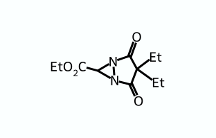 CCOC(=O)C1N2C(=O)C(CC)(CC)C(=O)N12